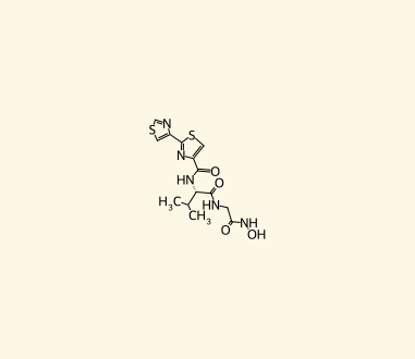 CC(C)[C@H](NC(=O)c1csc(-c2cscn2)n1)C(=O)NCC(=O)NO